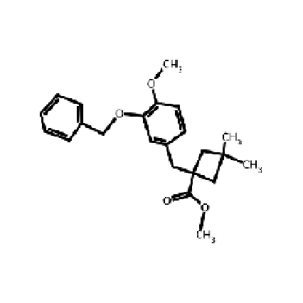 COC(=O)C1(Cc2ccc(OC)c(OCc3ccccc3)c2)CC(C)(C)C1